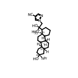 CCC[C@@]1(O)CC[C@H]2[C@H](CC[C@@H]3[C@@H]2CC[C@]2(C)C(C(C)(O)Cn4cc(C#N)cn4)CCC[C@@H]32)C1